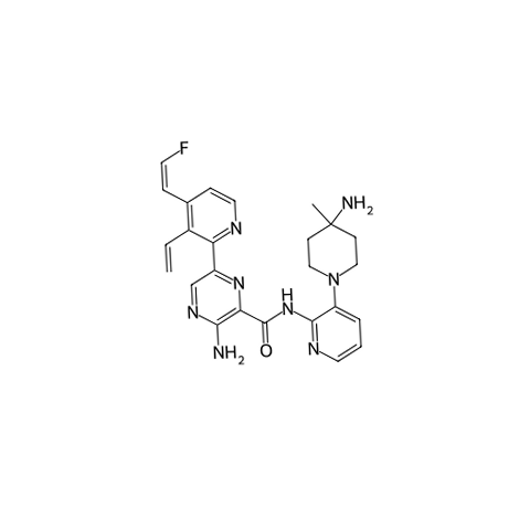 C=Cc1c(/C=C\F)ccnc1-c1cnc(N)c(C(=O)Nc2ncccc2N2CCC(C)(N)CC2)n1